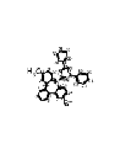 CC1=CC2c3ccccc3-c3cc(Br)ccc3N(c3nc(-c4ccccc4)nc(-c4ccccc4)n3)C2C=C1